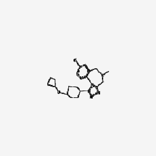 CN1Cc2cc(Cl)ccc2-n2c(nnc2C2CCC(OC3CCC3)CC2)C1